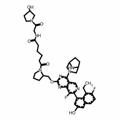 CCc1c(F)ccc2cc(O)cc(-c3ncc4c(N5CC6CCC(C5)N6)nc(OCC5CCCN5C(=O)CCCCC(=O)NCC(=O)N5CCC(O)C5)nc4c3F)c12